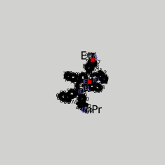 C=C/C=C1/c2ccccc2C(C)(C)C1CCN(C1=C/C2=C(C3(C)CCC4CCC=CC4C3)/C(C)=C/C=C(/N(c3ccc4c(c3)C(C)(C)C(/C=C\CCC)=C4C)C3C=C4C(CC3)C3C=CCCC3C4(C)C)CCC(C3=Cc4ccccc4CC3)C2CCC1)C1C=C2C(=CC1)CC(/C=C\CC)C2(C)C